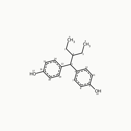 CCC(CC)C(c1ccc(O)cc1)c1ccc(O)cc1